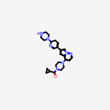 O=C(C1CC1)N1CCN(c2ccnn3cc(C4=CCC(N5CCNCC5)N=C4)cc23)CC1